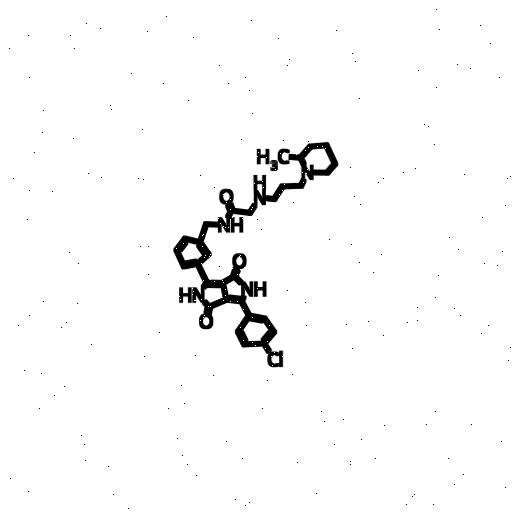 CC1CCCCN1CCCNCC(=O)NCc1cccc(C2=C3C(=O)NC(c4ccc(Cl)cc4)=C3C(=O)N2)c1